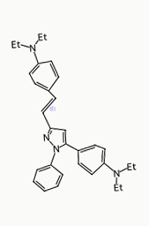 CCN(CC)c1ccc(/C=C/c2cc(-c3ccc(N(CC)CC)cc3)n(-c3ccccc3)n2)cc1